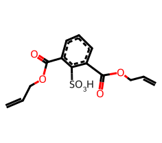 C=CCOC(=O)c1cccc(C(=O)OCC=C)c1S(=O)(=O)O